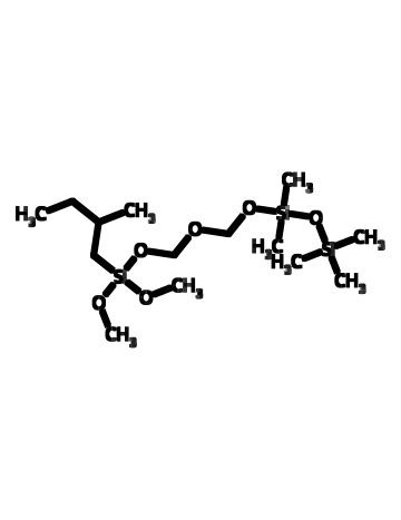 CCC(C)C[Si](OC)(OC)OCOCO[Si](C)(C)O[Si](C)(C)C